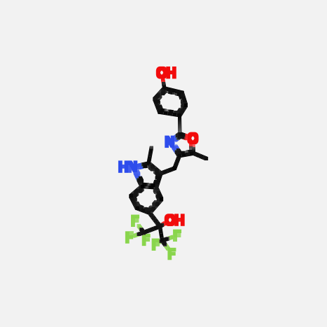 Cc1[nH]c2ccc(C(O)(C(F)(F)F)C(F)(F)F)cc2c1Cc1nc(-c2ccc(O)cc2)oc1C